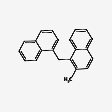 Cc1ccc2ccccc2c1Cc1cccc2ccccc12